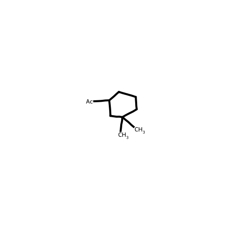 CC(=O)C1CCCC(C)(C)C1